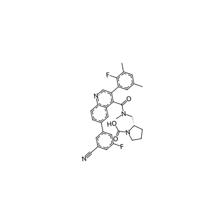 Cc1cc(C)c(F)c(-c2cnc3ccc(-c4cc(F)cc(C#N)c4)cc3c2C(=O)N(C)C[C@@H]2CCCN2C(=O)O)c1